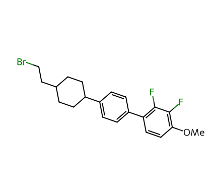 COc1ccc(-c2ccc(C3CCC(CCBr)CC3)cc2)c(F)c1F